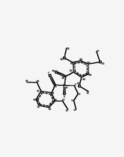 CCCCP(=O)(C(=O)c1c(CC)cccc1CC)C(=O)c1c(OC)cc(OC)cc1OC